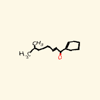 CC(C)CCC=CC(=O)C1=CCCCC1